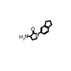 NC1CCN(c2ccc3c(c2)CCC3)C1=O